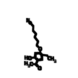 CCc1cc(C(C)=O)c(O)cc1OCCCCCCC#N